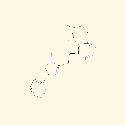 Cc1ccc2nc(C)nc(CCc3nc(-c4ccccc4)cn3C)c2c1